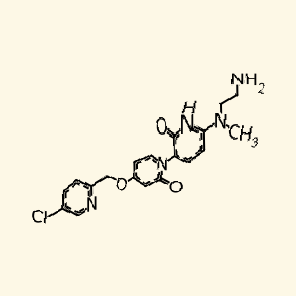 CN(CCN)c1ccc(-n2ccc(OCc3ccc(Cl)cn3)cc2=O)c(=O)[nH]1